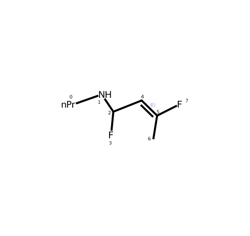 CCCNC(F)/C=C(\C)F